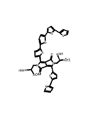 CCCCCCCCC(CCCCCC)CN1C(=O)C2=C(c3ccc(-c4ccc(-c5ccc(-c6cccs6)s5)s4)s3)N(CC(CCCCCC)CCCCCCCC)C(=O)C2=C1c1ccc(-c2cccs2)s1